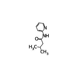 CC(C)CC(=O)Nc1ccccn1